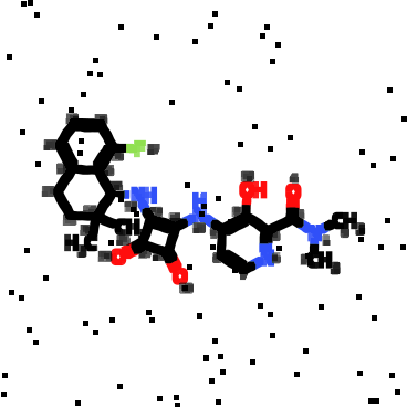 CN(C)C(=O)c1nccc(Nc2c(N[C@H]3c4c(F)cccc4CCC3(C)C)c(=O)c2=O)c1O